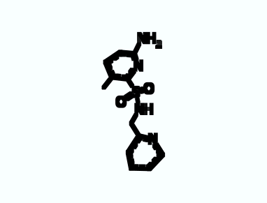 Cc1ccc(N)nc1S(=O)(=O)NCc1ccccn1